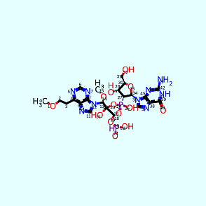 COCCc1ncnc2c1ncn2[C@H](OC)C(O)(CO[PH](=O)O)OP(=O)(O)[C@@H]1[C@H](O)[C@@H](CO)O[C@H]1n1cnc2c(=O)[nH]c(N)nc21